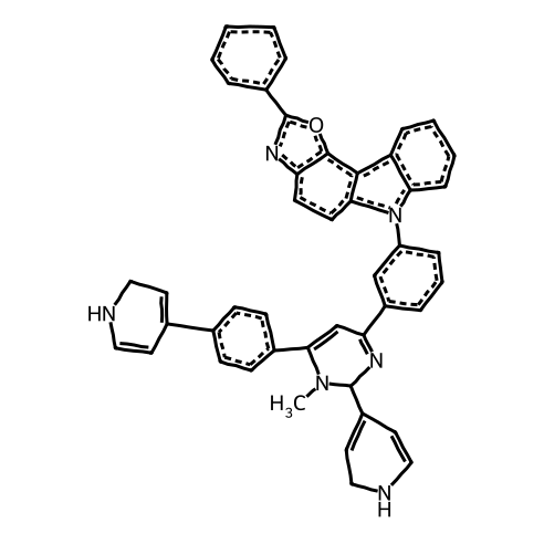 CN1C(c2ccc(C3=CCNC=C3)cc2)=CC(c2cccc(-n3c4ccccc4c4c5oc(-c6ccccc6)nc5ccc43)c2)=NC1C1=CCNC=C1